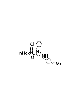 CCCCCCNC(=O)[C@@H]1C[C@H](NCc2ccc(OC)cc2)CN1Cc1ccccc1Cl